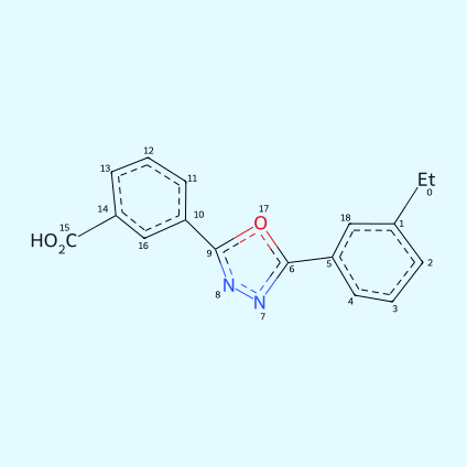 CCc1cccc(-c2nnc(-c3cccc(C(=O)O)c3)o2)c1